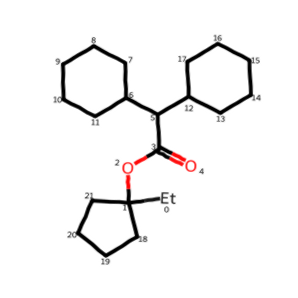 CCC1(OC(=O)C(C2CCCCC2)C2CCCCC2)CCCC1